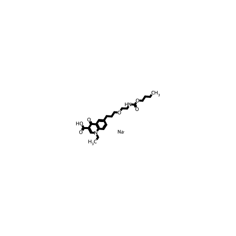 CCCCOC(=O)NCCOCCCc1ccc2c(c1)c(=O)c(C(=O)O)cn2CC.[Na]